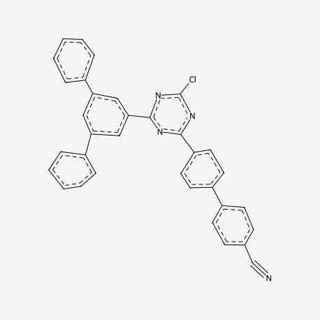 N#Cc1ccc(-c2ccc(-c3nc(Cl)nc(-c4cc(-c5ccccc5)cc(-c5ccccc5)c4)n3)cc2)cc1